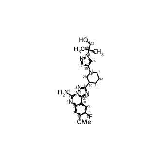 COc1cc2nc(N)n3nc(C4CCCN(c5cnn(C(C)(C)CO)c5)C4)nc3c2cc1F